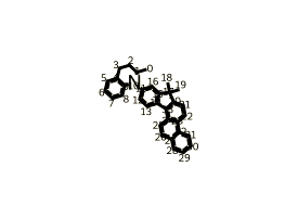 CC1CCc2ccccc2N1c1ccc2c(c1)C(C)(C)c1ccc3c(ccc4ccccc43)c1-2